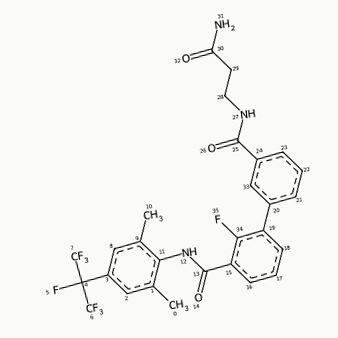 Cc1cc(C(F)(C(F)(F)F)C(F)(F)F)cc(C)c1NC(=O)c1cccc(-c2cccc(C(=O)NCCC(N)=O)c2)c1F